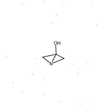 OC12CN1C2